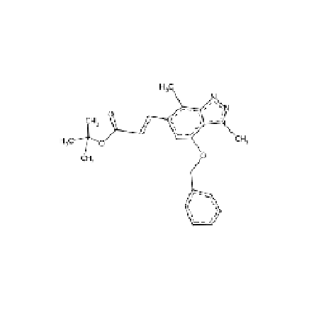 Cc1c(/C=C/C(=O)OC(C)(C)C)cc(OCc2ccccc2)c2c1nnn2C